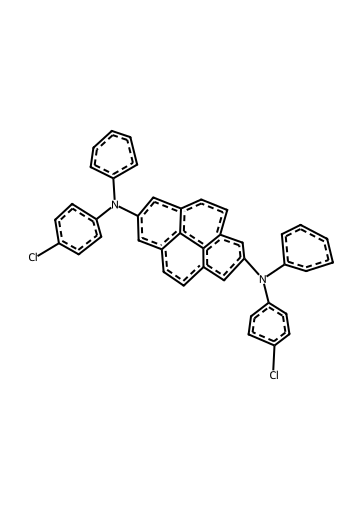 Clc1ccc(N(c2ccccc2)c2cc3ccc4cc(N(c5ccccc5)c5ccc(Cl)cc5)cc5ccc(c2)c3c45)cc1